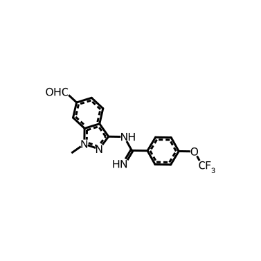 Cn1nc(NC(=N)c2ccc(OC(F)(F)F)cc2)c2ccc(C=O)cc21